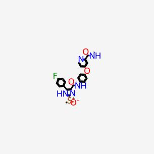 CNC(=O)c1cc(Oc2ccc(NC(=O)c3nc([S+](C)[O-])[nH]c3-c3ccc(F)cc3)cc2)ccn1